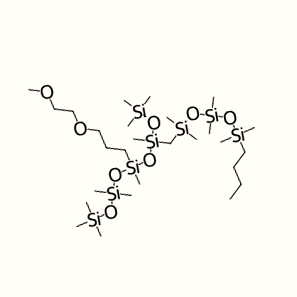 CCCC[Si](C)(C)O[Si](C)(C)O[Si](C)(C)C[Si](C)(O[Si](C)(C)C)O[Si](C)(CCCOCCOC)O[Si](C)(C)O[Si](C)(C)C